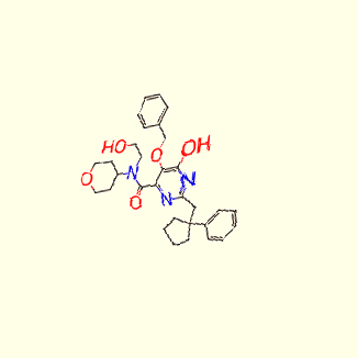 O=C(c1nc(CC2(c3ccccc3)CCCC2)nc(O)c1OCc1ccccc1)N(CCO)C1CCOCC1